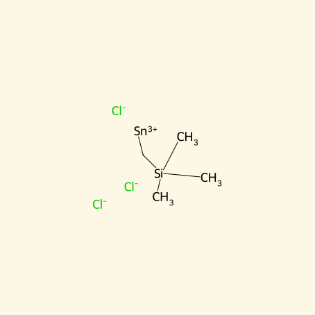 C[Si](C)(C)[CH2][Sn+3].[Cl-].[Cl-].[Cl-]